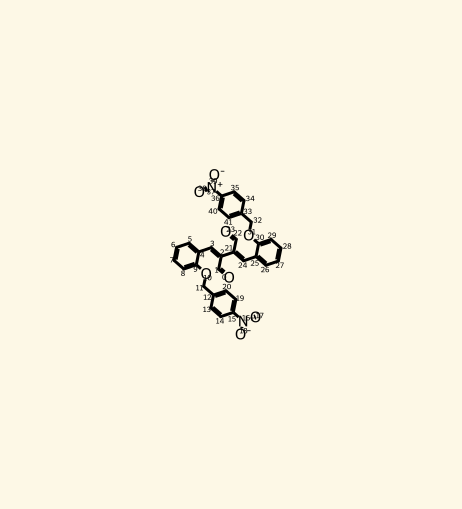 O=CC(=Cc1ccccc1OCc1ccc([N+](=O)[O-])cc1)C(C=O)=Cc1ccccc1OCc1ccc([N+](=O)[O-])cc1